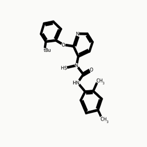 Cc1ccc(NC(=O)N(S)c2cccnc2Oc2ccccc2C(C)(C)C)c(C)c1